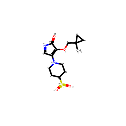 CC1(COC2=C(N3CCC([SH](=O)=O)CC3)C=NC2=O)CC1